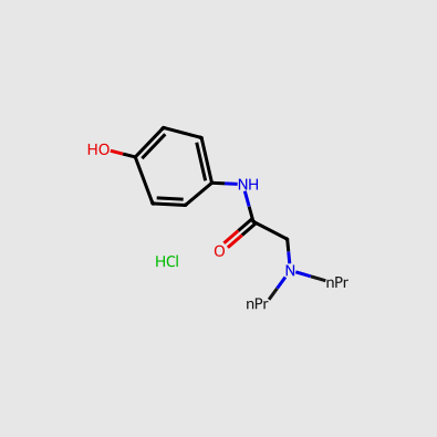 CCCN(CCC)CC(=O)Nc1ccc(O)cc1.Cl